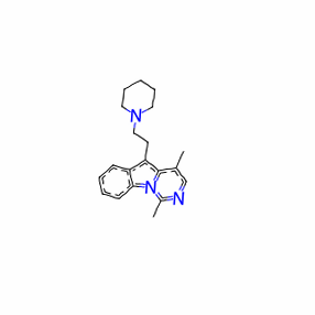 Cc1cnc(C)n2c1c(CCN1CCCCC1)c1ccccc12